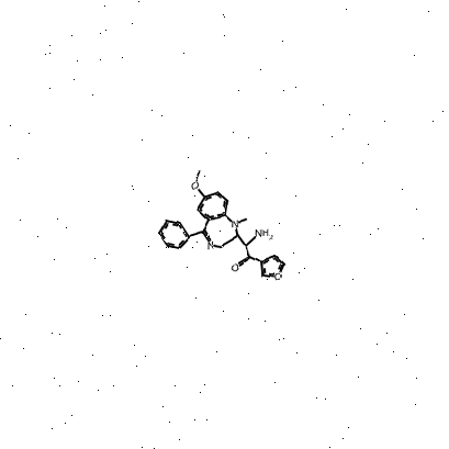 COc1ccc2c(c1)C(c1ccccc1)=NCC(C(N)C(=O)c1ccoc1)N2C